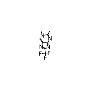 Cc1nc2nc(C(F)(F)F)nc-2cn1C